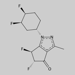 Cc1nn([C@H]2CC[C@H](F)[C@H](F)C2)c2c1C(=O)[C@H](F)[C@H]2F